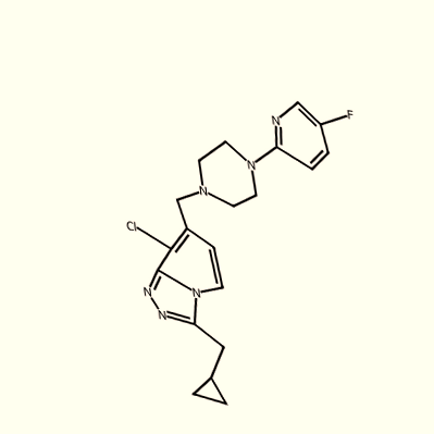 Fc1ccc(N2CCN(Cc3ccn4c(CC5CC5)nnc4c3Cl)CC2)nc1